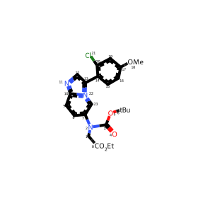 CCOC(=O)CN(C(=O)OC(C)(C)C)c1ccc2ncc(-c3ccc(OC)cc3Cl)n2c1